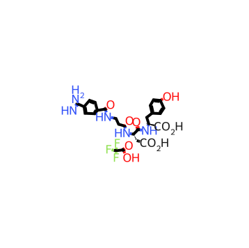 N=C(N)c1ccc(C(=O)NCCC(=O)N[C@@H](CC(=O)O)C(=O)N[C@@H](Cc2ccc(O)cc2)C(=O)O)cc1.O=C(O)C(F)(F)F